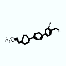 CCCC1CCC(C2=CC=C(C3=CC=C(CF)C(F)C3)CC2)CC1